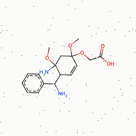 COC1(OCC(=O)O)C=CC(C(N)c2ccccc2)C(N)(OC)C1